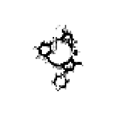 Cc1cc(N2CCOCC2)c2cc1Nc1ncc(Cl)c(n1)Nc1cccc(c1)CC2